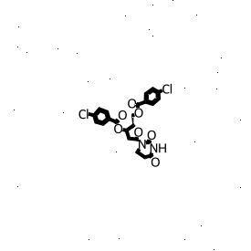 O=C1CCN([C@H]2CC(OC(=O)c3ccc(Cl)cc3)[C@@H](COC(=O)c3ccc(Cl)cc3)O2)C(=O)N1